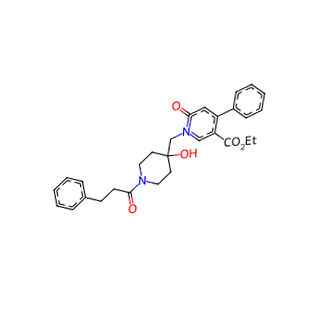 CCOC(=O)c1cn(CC2(O)CCN(C(=O)CCc3ccccc3)CC2)c(=O)cc1-c1ccccc1